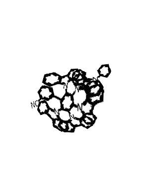 N#Cc1cccc(-c2c(-n3c4ccccc4c4ccccc43)c(-n3c4ccccc4c4ccccc43)c(-n3c4ccccc4c4ccc5c(c6ccccc6n5-c5ccccc5)c43)c(-n3c4ccccc4c4ccccc43)c2-n2c3ccccc3c3ccccc32)c1